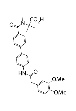 COc1ccc(CC(=O)Nc2ccc(-c3ccc(C(=O)N(C)C(C)(C)C(=O)O)cc3)cc2)cc1OC